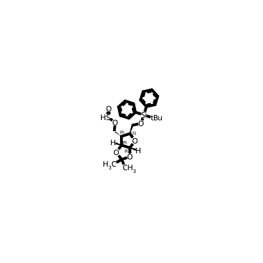 CC1(C)O[C@H]2O[C@H](CO[Si](c3ccccc3)(c3ccccc3)C(C)(C)C)[C@@H](CO[SH]=O)[C@H]2O1